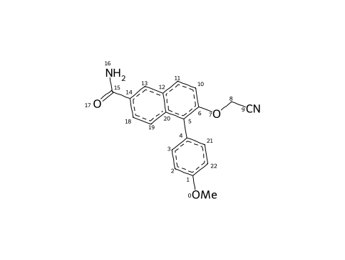 COc1ccc(-c2c(OCC#N)ccc3cc(C(N)=O)ccc23)cc1